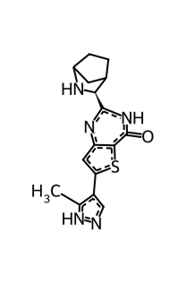 Cc1[nH]ncc1-c1cc2nc([C@H]3NC4CCC3C4)[nH]c(=O)c2s1